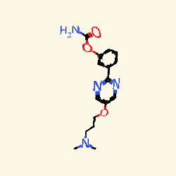 CN(C)CCCOc1cnc(-c2cccc(OC(N)=O)c2)nc1